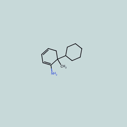 CC1(C2CCCCC2)CC=CC=C1N